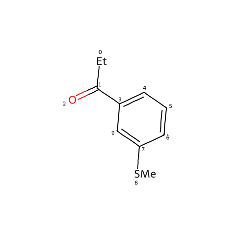 CCC(=O)c1cc[c]c(SC)c1